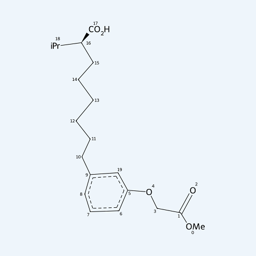 COC(=O)COc1cccc(CCCCCC[C@H](C(=O)O)C(C)C)c1